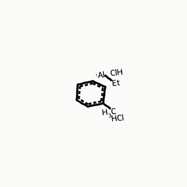 C[CH2][Al].Cc1ccccc1.Cl.Cl